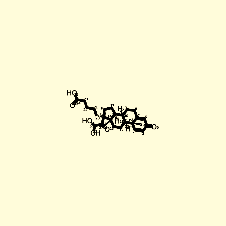 C[C@]12C=CC(=O)C=C1CC[C@@H]1[C@@H]2CC[C@@]2(C)[C@H]1CC[C@]2(CCCCC(=O)O)C(=O)C(O)O